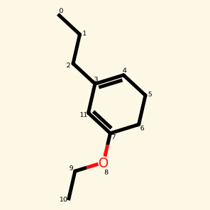 CCCC1=CCCC(OCC)=C1